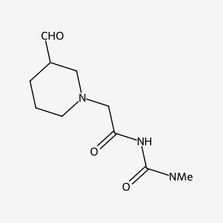 CNC(=O)NC(=O)CN1CCCC(C=O)C1